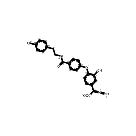 N#Cc1cc(C(=[N+]=N)C(=O)[O-])ccc1Oc1ccc(C(=O)NCCc2ccc(Cl)cc2)cc1